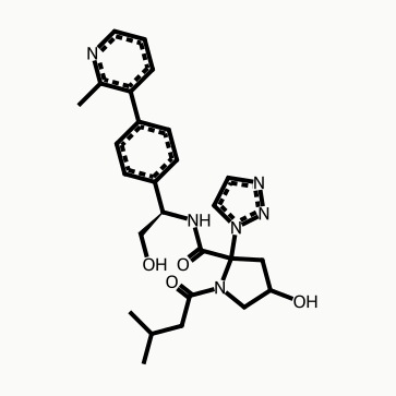 Cc1ncccc1-c1ccc([C@H](CO)NC(=O)C2(n3ccnn3)CC(O)CN2C(=O)CC(C)C)cc1